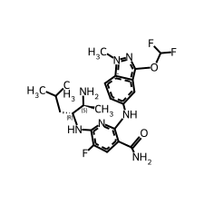 CC(C)C[C@@H](Nc1nc(Nc2ccc3c(c2)c(OC(F)F)nn3C)c(C(N)=O)cc1F)[C@H](C)N